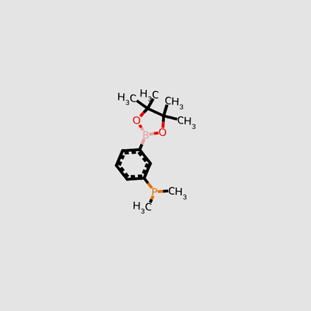 CP(C)c1cccc(B2OC(C)(C)C(C)(C)O2)c1